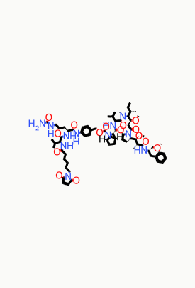 CC[C@H](C)[C@@H]([C@H](CC(=O)N1CCC[C@H]1[C@H](OC)[C@@H](C)C(=O)N[C@H](COC)Cc1ccccc1)OC)N(C)C(=O)[C@@H](NC(=O)[C@@H]1[C@H]2CC[C@H](C2)N1C(=O)OCc1ccc(NC(=O)[C@H](CCCNC(N)=O)NC(=O)[C@@H](NC(=O)CCCCCN2C(=O)C=CC2=O)C(C)C)cc1)C(C)C